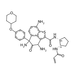 C=CC(=O)N[C@H]1CCC[C@H]1NC(=O)c1sc2c(N)ccc3c2c1C(N)C(=O)C3(N)c1ccc(OC2CCOCC2)cc1